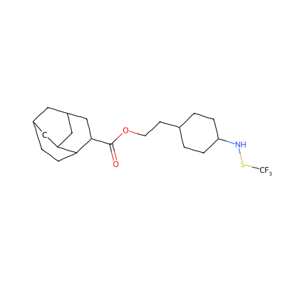 O=C(OCCC1CCC(NSC(F)(F)F)CC1)C1CC2CC3CCC1C(C3)C2